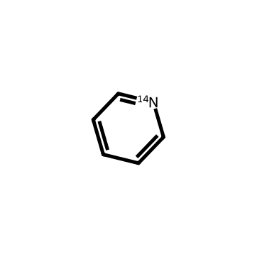 c1cc[14n]cc1